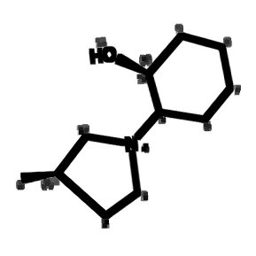 C[C@@H]1CCN(C2CCCC[C@@H]2O)C1